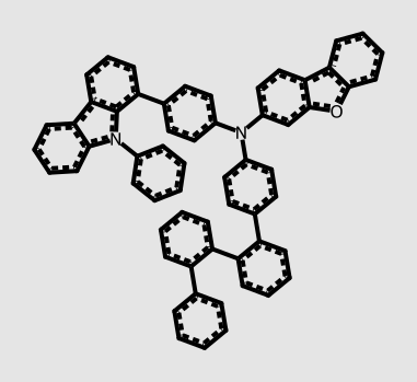 c1ccc(-c2ccccc2-c2ccccc2-c2ccc(N(c3ccc(-c4cccc5c6ccccc6n(-c6ccccc6)c45)cc3)c3ccc4c(c3)oc3ccccc34)cc2)cc1